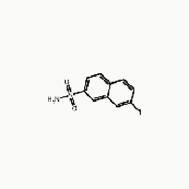 NS(=O)(=O)c1ccc2ccc(I)cc2c1